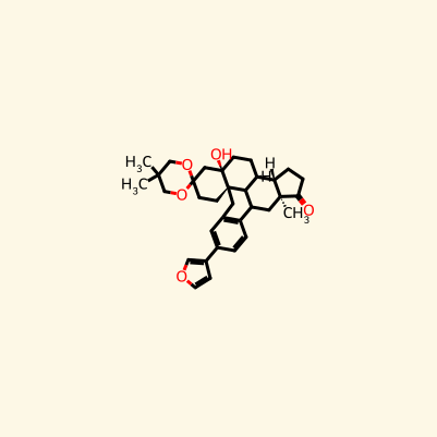 CC1(C)COC2(CC[C@@]34Cc5cc(-c6ccoc6)ccc5C5C[C@]6(C)C(=O)CC[C@H]6[C@H](CC[C@@]3(O)C2)C54)OC1